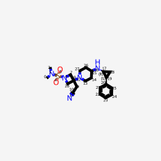 CN(C)S(=O)(=O)N1CC(CC#N)(N2CCC(N[C@@H]3C[C@H]3c3ccccc3)CC2)C1